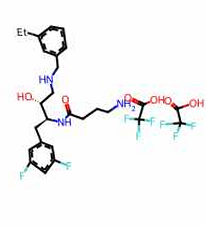 CCc1cccc(CNC[C@@H](O)[C@H](Cc2cc(F)cc(F)c2)NC(=O)CCCN)c1.O=C(O)C(F)(F)F.O=C(O)C(F)(F)F